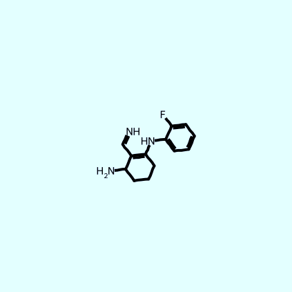 N=CC1=C(Nc2ccccc2F)CCCC1N